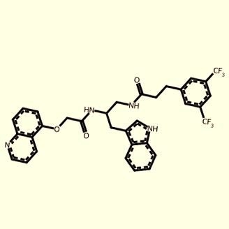 O=C(CCc1cc(C(F)(F)F)cc(C(F)(F)F)c1)NCC(Cc1c[nH]c2ccccc12)NC(=O)COc1cccc2ncccc12